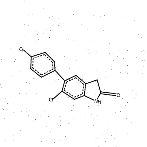 O=C1Cc2cc(-c3ccc(Cl)cc3)c(Cl)cc2N1